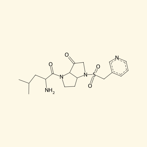 CC(C)CC(N)C(=O)N1CCC2C1C(=O)CN2S(=O)(=O)Cc1cccnc1